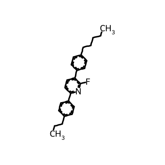 CCCCCc1ccc(-c2ccc(-c3ccc(CCC)cc3)nc2F)cc1